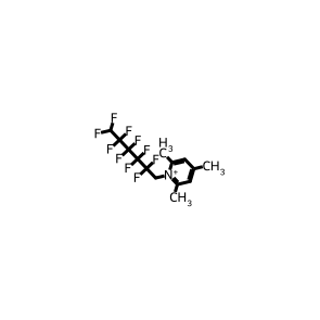 Cc1cc(C)[n+](CC(F)(F)C(F)(F)C(F)(F)C(F)(F)C(F)F)c(C)c1